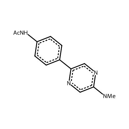 CNc1cnc(-c2ccc(NC(C)=O)cc2)cn1